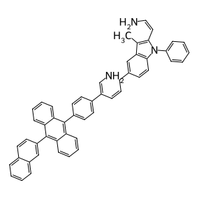 Cc1c(/C=C\N)n(-c2ccccc2)c2ccc(C/C=C\C(=C/N)c3ccc(-c4c5ccccc5c(-c5ccc6ccccc6c5)c5ccccc45)cc3)cc12